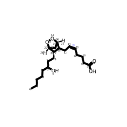 CCCCCC(O)CC[C@@H]1C(C/C=C\CCCC(=O)O)[C@@H]2C[C@H]1OO2